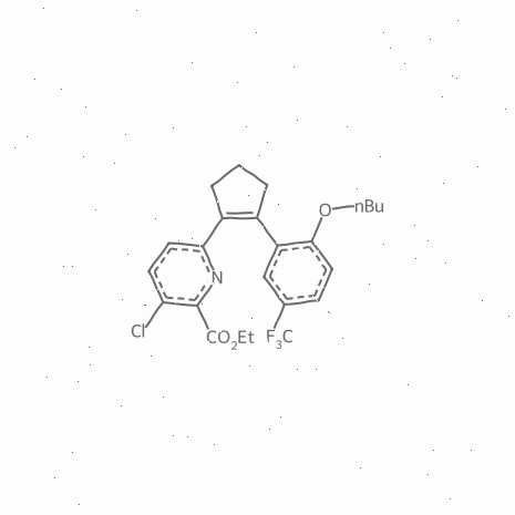 CCCCOc1ccc(C(F)(F)F)cc1C1=C(c2ccc(Cl)c(C(=O)OCC)n2)CCC1